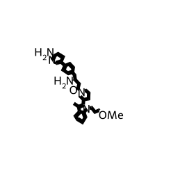 COCCCn1c(C2CCCN(C(=O)C[C@H](N)Cc3ccc(-c4ccc(N)nc4)cc3)C2)c(C)c2ccccc21